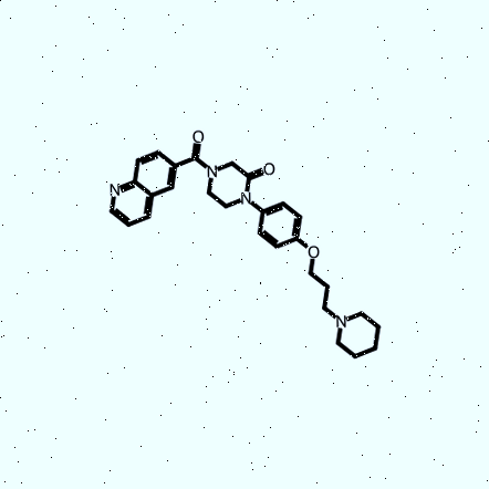 O=C(c1ccc2ncccc2c1)N1CCN(c2ccc(OCCCN3CCCCC3)cc2)C(=O)C1